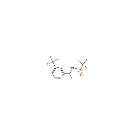 CC(N[S@+]([O-])C(C)(C)C)c1cccc(C(C)(F)F)c1